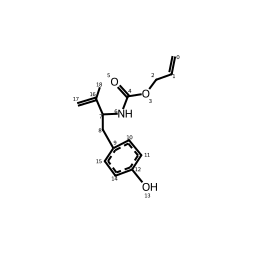 C=CCOC(=O)NC(Cc1ccc(O)cc1)C(=C)C